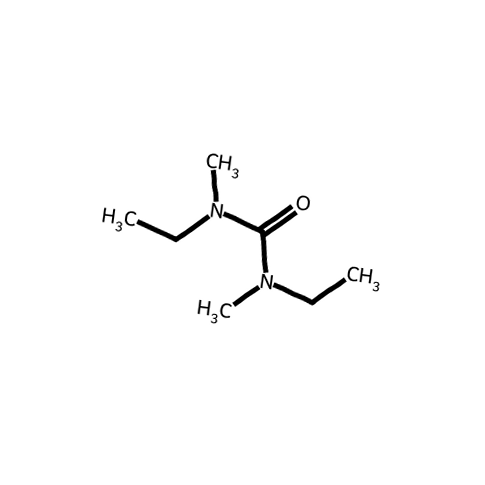 CCN(C)C(=O)N(C)CC